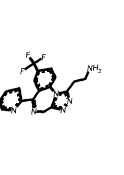 NCCc1nnc2n1-c1ccc(C(F)(F)F)cc1C(c1ccccn1)=NC2